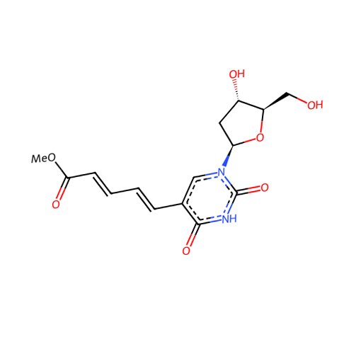 COC(=O)C=CC=Cc1cn([C@H]2C[C@H](O)[C@@H](CO)O2)c(=O)[nH]c1=O